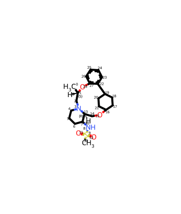 C[C@H]1CN2CCCC(NS(C)(=O)=O)[C@@H]2COC2CCC(CC2)c2ccccc2O1